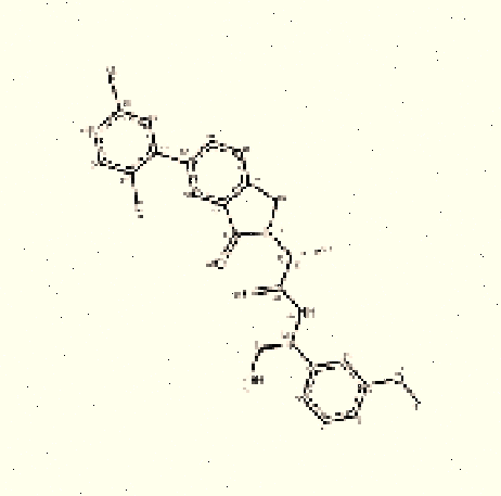 COc1cccc([C@@H](CO)NC(=O)[C@@H](C)N2Cc3ccc(-c4cc(F)ncc4Cl)cc3C2=O)c1